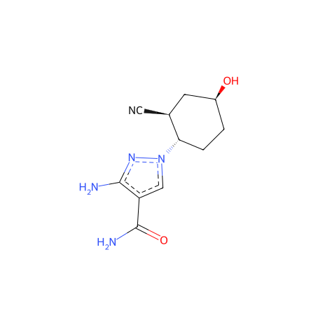 N#C[C@H]1C[C@@H](O)CC[C@@H]1n1cc(C(N)=O)c(N)n1